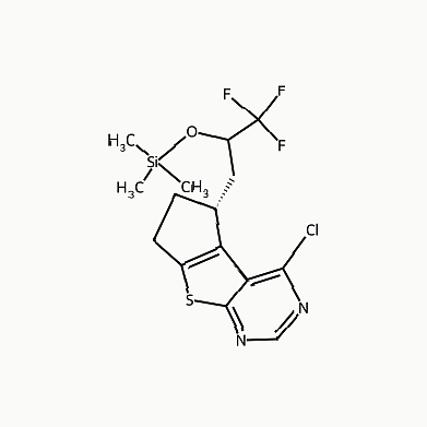 C[Si](C)(C)OC(C[C@H]1CCc2sc3ncnc(Cl)c3c21)C(F)(F)F